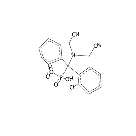 N#CCN(CC#N)C(c1ccccc1Cl)(c1ccccc1Cl)P(=O)(O)O